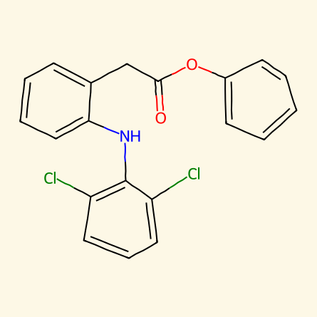 O=C(Cc1ccccc1Nc1c(Cl)cccc1Cl)Oc1ccccc1